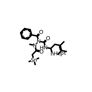 CCCCCCCC(CC(C)=C(C)C)NC(=O)N(C(=O)c1ccccc1)N(C)C(=O)[CH2][Sn]([CH3])([CH3])[CH3]